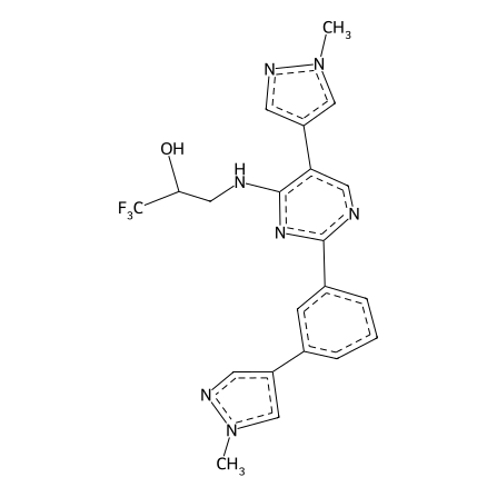 Cn1cc(-c2cccc(-c3ncc(-c4cnn(C)c4)c(NCC(O)C(F)(F)F)n3)c2)cn1